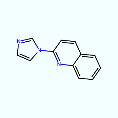 c1ccc2nc(-n3ccnc3)ccc2c1